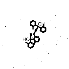 C#CC(O)(c1ccccc1C)c1c(C)cccc1CC#CC(O)(c1ccccc1C)c1ccccc1C